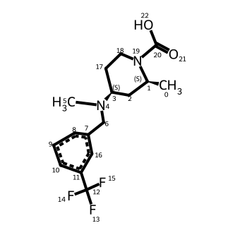 C[C@H]1C[C@@H](N(C)Cc2cccc(C(F)(F)F)c2)CCN1C(=O)O